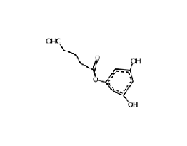 O=CCCCC(=O)Oc1cc(O)cc(O)c1